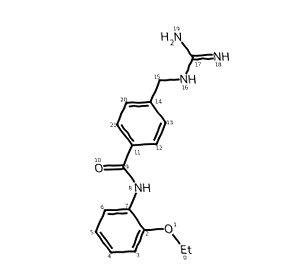 CCOc1ccccc1NC(=O)c1ccc(CNC(=N)N)cc1